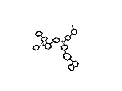 CC1C=CC=C(c2ccc(N(c3ccc(C4=CC=C(c5cccc6ccccc56)CC=C4)cc3)c3cccc(-c4cccc5c4c4ccc(-c6ccccc6)cc4n5-c4ccccc4)c3)cc2)C1